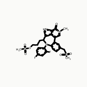 Cn1cc2c3c(c[nH]c3c1=O)C(CCCOS(C)(=O)=O)N(c1ccc(F)cc1F)c1ccc(CS(C)(=O)=O)cc1-2